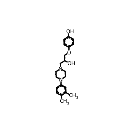 Cc1ccc(N2CCN(CC(O)COc3ccc(O)cc3)CC2)cc1C